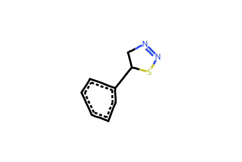 c1ccc(C2CN=NS2)cc1